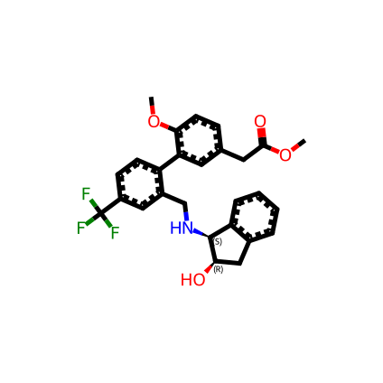 COC(=O)Cc1ccc(OC)c(-c2ccc(C(F)(F)F)cc2CN[C@H]2c3ccccc3C[C@H]2O)c1